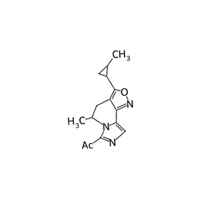 CC(=O)c1ncc2n1C(C)Cc1c-2noc1C1CC1C